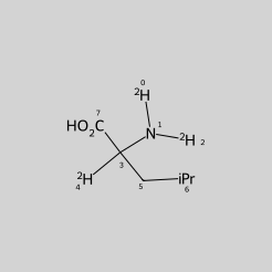 [2H]N([2H])C([2H])(CC(C)C)C(=O)O